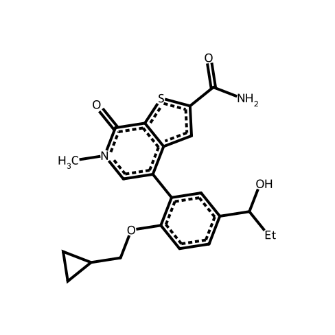 CCC(O)c1ccc(OCC2CC2)c(-c2cn(C)c(=O)c3sc(C(N)=O)cc23)c1